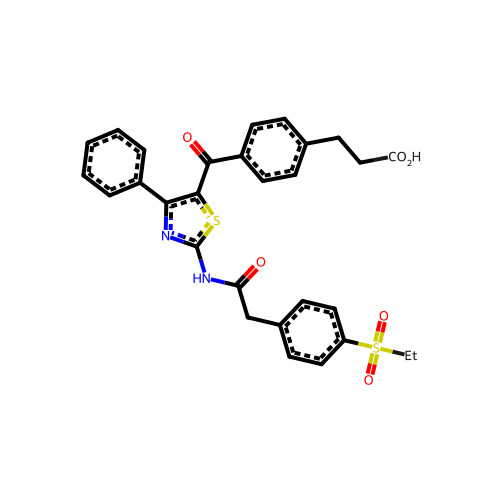 CCS(=O)(=O)c1ccc(CC(=O)Nc2nc(-c3ccccc3)c(C(=O)c3ccc(CCC(=O)O)cc3)s2)cc1